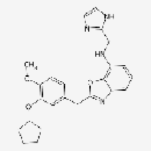 COc1ccc(Cc2nc3cccc(NCc4ncc[nH]4)c3o2)cc1OC1CCCC1